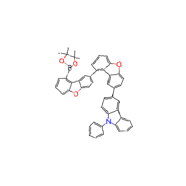 CC1(C)OB(c2cccc3oc4ccc(-c5cccc6oc7ccc(-c8ccc9c(c8)c8ccccc8n9-c8ccccc8)cc7c56)cc4c23)OC1(C)C